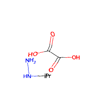 CC(C)NN.O=C(O)C(=O)O